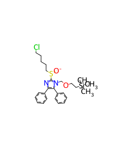 C[Si](C)(C)CCOCn1c([S+]([O-])CCCCCCl)nc(-c2ccccc2)c1-c1ccccc1